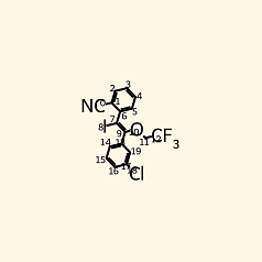 N#Cc1ccccc1C(I)=C(OCC(F)(F)F)c1cccc(Cl)c1